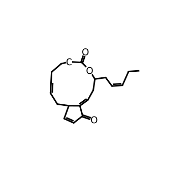 CC/C=C\CC1C/C=C2/C(=O)C=CC2C/C=C\CCCC(=O)O1